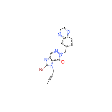 CC#CCn1c(Br)nc2cnn(Cc3ccc4nccnc4c3)c(=O)c21